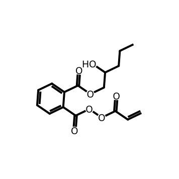 C=CC(=O)OOC(=O)c1ccccc1C(=O)OCC(O)CCC